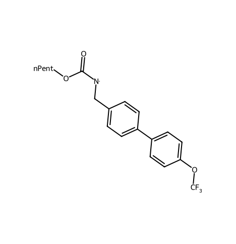 CCCCCOC(=O)[N]Cc1ccc(-c2ccc(OC(F)(F)F)cc2)cc1